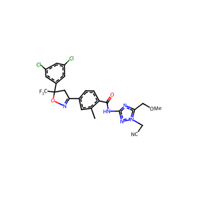 COCc1nc(NC(=O)c2ccc(C3=NOC(c4cc(Cl)cc(Cl)c4)(C(F)(F)F)C3)cc2C)nn1CC#N